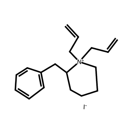 C=CC[N+]1(CC=C)CCCCC1Cc1ccccc1.[I-]